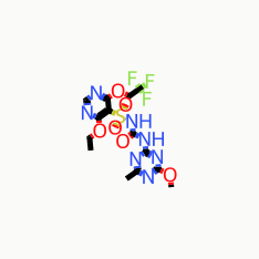 CCOc1ncnc(OCC(F)(F)F)c1S(=O)(=O)NC(=O)Nc1nc(C)nc(OC)n1